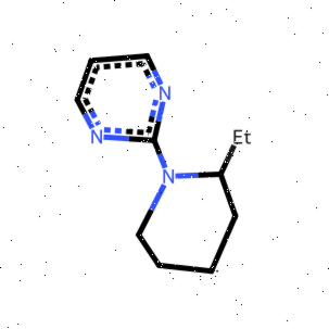 CCC1C[CH]CCN1c1ncccn1